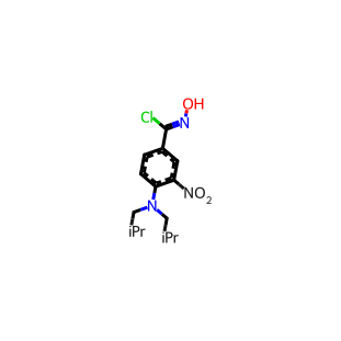 CC(C)CN(CC(C)C)c1ccc(C(Cl)=NO)cc1[N+](=O)[O-]